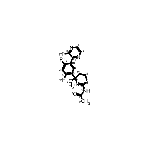 CC(=O)NC1=NC(C)(c2cc(-c3nccnc3F)c(F)cc2F)CCS1